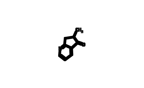 CC1Cc2ncccc2C1=O